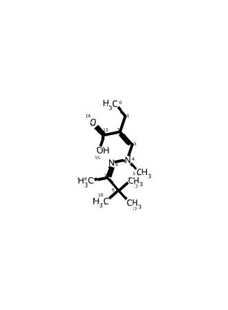 CCC(=CN(C)N=C(C)C(C)(C)C)C(=O)O